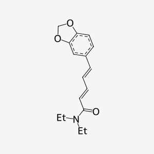 CCN(CC)C(=O)C=CC=Cc1ccc2c(c1)OCO2